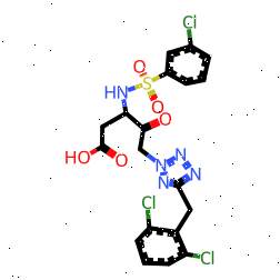 O=C(O)CC(NS(=O)(=O)c1cccc(Cl)c1)C(=O)Cn1nnc(Cc2c(Cl)cccc2Cl)n1